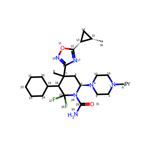 CC(C)N1CCN([C@@H]2CC(C)(c3noc([C@@H]4C[C@@H]4C)n3)C(C3CCCCC3)C(F)(F)N2C(N)=O)CC1